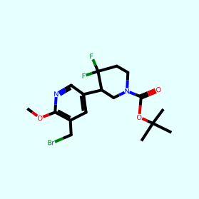 COc1ncc(C2CN(C(=O)OC(C)(C)C)CCC2(F)F)cc1CBr